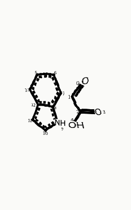 O=CC(=O)O.c1ccc2[nH]ccc2c1